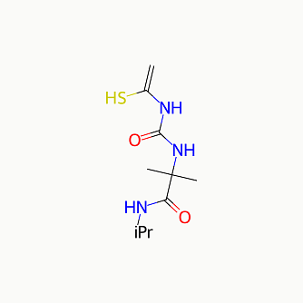 C=C(S)NC(=O)NC(C)(C)C(=O)NC(C)C